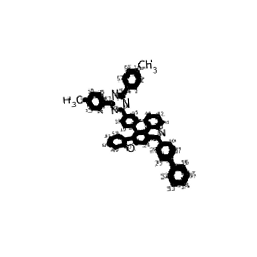 Cc1ccc(-c2nc(-c3ccc(C)cc3)nc(-c3ccc(-c4c5c(cc6c(-c7ccc(-c8ccccc8)cc7)nc7ccccc7c46)oc4ccccc45)cc3)n2)cc1